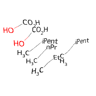 CCC.CCCC.CCCC(C)C.CCCC(C)C.O=C(O)O.O=C(O)O